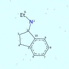 CC[N]C1CCc2ccccc21